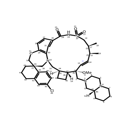 CO[C@@]1(CN2CCN3CCCC[C@@H]3C2)/C=C/[C@H](C)[C@H](C)CS(=O)(=O)NC(=O)c2ccc3c(c2)N(C[C@@H]2CC[C@H]21)C[C@@]1(CCCc2cc(Cl)ccc21)CO3